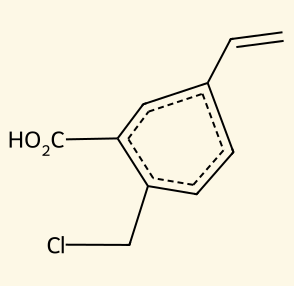 C=Cc1ccc(CCl)c(C(=O)O)c1